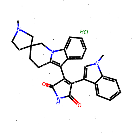 CN1CCC2(CCc3c(C4=C(c5cn(C)c6ccccc56)C(=O)NC4=O)c4ccccc4n3C2)C1.Cl